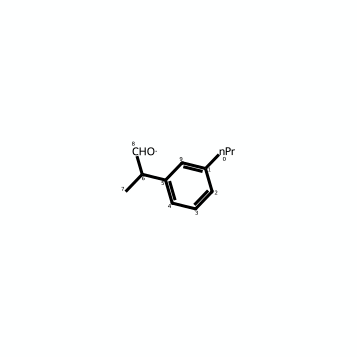 CCCc1cccc(C(C)[C]=O)c1